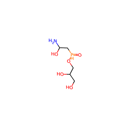 NC(O)C[PH](=O)OCC(O)CO